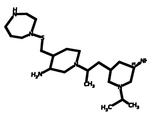 CC(C)N1CC(CC(C)N2CCC(CSN3CCCNCC3)C(N)C2)C[C@@H](N)C1